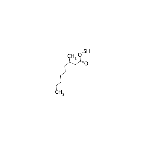 CCCCCCC(C)CC(=O)OS